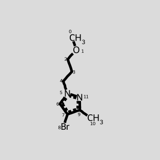 COCCCn1cc(Br)c(C)n1